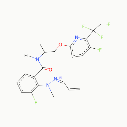 C=C/C=N\N(C)c1c(F)cccc1C(=O)N(CC)C(C)COc1ccc(F)c(C(F)(F)CF)n1